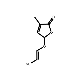 CC1=CC(OC=CC#N)OC1=O